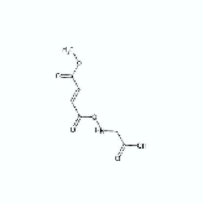 COC(=O)/C=C/C(=O)ONCC(=O)O